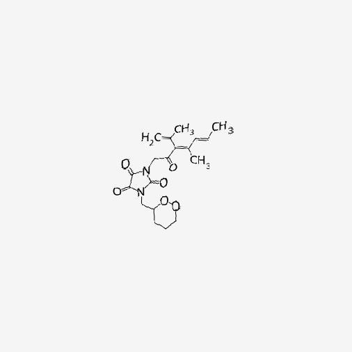 C=C(C)/C(C(=O)CN1C(=O)C(=O)N(CC2CCCOO2)C1=O)=C(C)\C=C\C